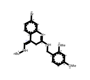 CCCCN/C=C1\CC(NCc2ccc(OC)cc2OC)=Nc2cc(Br)ccc21